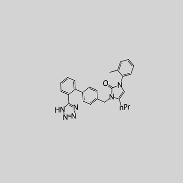 CCCc1cn(-c2ccccc2C)c(=O)n1Cc1ccc(-c2ccccc2-c2nnn[nH]2)cc1